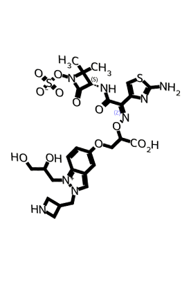 CC1(C)[C@H](NC(=O)/C(=N\OC(COc2ccc3c(c2)cn(CC2CNC2)[n+]3CC(O)CO)C(=O)O)c2csc(N)n2)C(=O)N1OS(=O)(=O)[O-]